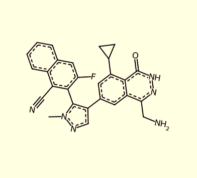 Cn1ncc(-c2cc(C3CC3)c3c(=O)[nH]nc(CN)c3c2)c1-c1c(F)cc2ccccc2c1C#N